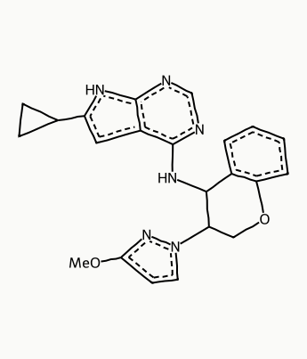 COc1ccn(C2COc3ccccc3C2Nc2ncnc3[nH]c(C4CC4)cc23)n1